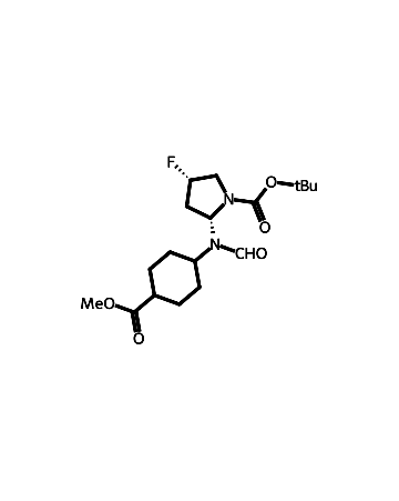 COC(=O)C1CCC(N(C=O)[C@@H]2C[C@H](F)CN2C(=O)OC(C)(C)C)CC1